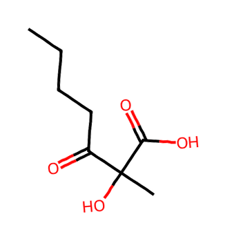 CCCCC(=O)C(C)(O)C(=O)O